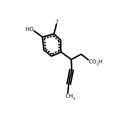 CC#CC(CC(=O)O)c1ccc(O)c(I)c1